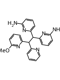 COc1cccc(C(c2ccccn2)C(c2cccc(N)n2)c2cccc(N)n2)n1